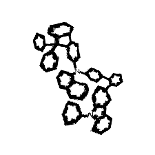 c1ccc(-n2c3ccccc3c3cc(-c4ccccc4-c4ccc(N(c5ccc6c(c5)C(c5ccccc5)(c5ccccc5)c5ccccc5-6)c5cccc6ccccc56)cc4)ccc32)cc1